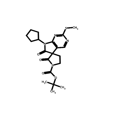 CSc1ncc2c(n1)N(C1CCCC1)C(=O)C21CCN(C(=O)OC(C)(C)C)C1=O